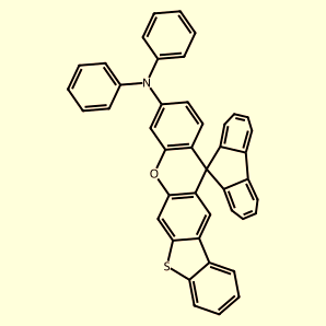 c1ccc(N(c2ccccc2)c2ccc3c(c2)Oc2cc4sc5ccccc5c4cc2C32c3ccccc3-c3ccccc32)cc1